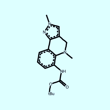 CN1Cc2cn(C)nc2-c2cccc(NC(=O)OC(C)(C)C)c21